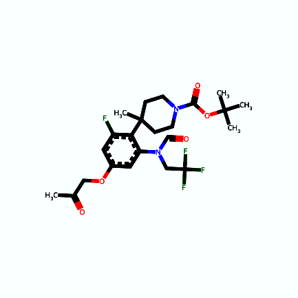 CC(=O)COc1cc(F)c(C2(C)CCN(C(=O)OC(C)(C)C)CC2)c(N(C=O)CC(F)(F)F)c1